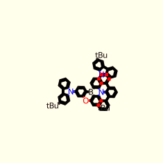 CC(C)(C)c1cc2c3c(c1)N(c1c(-c4ccccc4)cccc1-c1ccccc1)c1cc(-n4c5ccccc5c5cc(C(C)(C)C)ccc54)ccc1B3c1ccc(-n3c4ccccc4c4cc(C(C)(C)C)ccc43)cc1O2